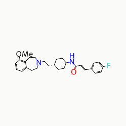 COc1cccc2c1CCN(CC[C@H]1CC[C@H](NC(=O)/C=C/c3ccc(F)cc3)CC1)CC2